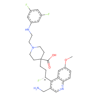 COc1ccc2ncc(CN)c([C@H](F)CCC3(C(=O)O)CCN(CCNc4cc(F)cc(F)c4)CC3)c2c1